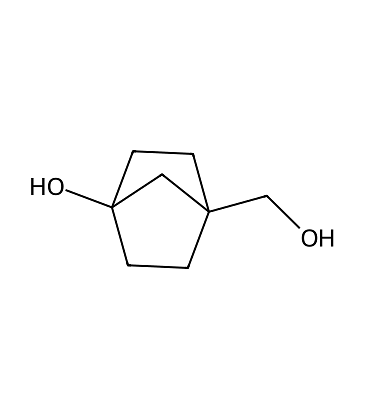 OCC12CCC(O)(CC1)C2